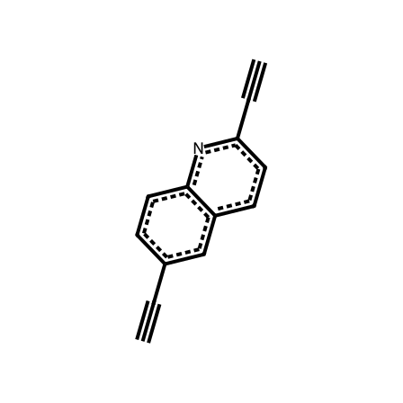 C#Cc1ccc2nc(C#C)ccc2c1